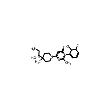 Cc1nc(N2CCC(C)([C@H](O)CN)CC2)cc(=O)n1C1=CC=CC(Cl)C1Cl